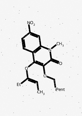 CC=C(CC)Oc1c(OCC(C)CCC)c(=O)n(C)c2cc([N+](=O)[O-])ccc12